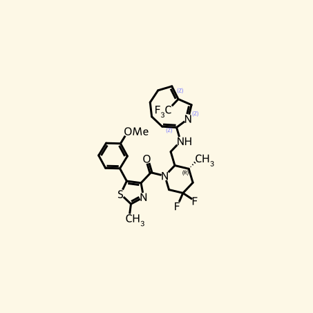 COc1cccc(-c2sc(C)nc2C(=O)N2CC(F)(F)C[C@@H](C)C2CNC2=C/CCC/C=C(C(F)(F)F)/C=N\2)c1